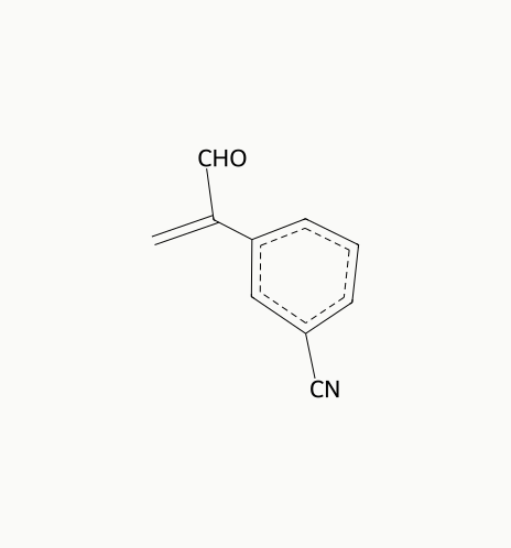 C=C(C=O)c1cccc(C#N)c1